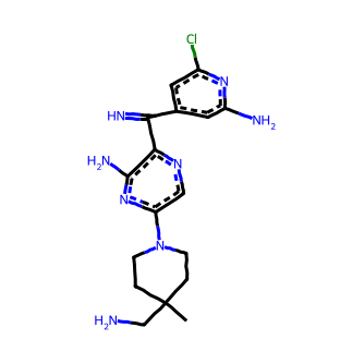 CC1(CN)CCN(c2cnc(C(=N)c3cc(N)nc(Cl)c3)c(N)n2)CC1